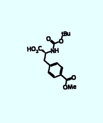 COC(=O)c1ccc(C[C@H](NC(=O)OC(C)(C)C)C(=O)O)cc1